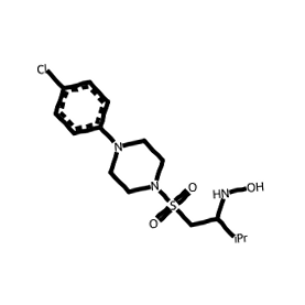 CC(C)C(CS(=O)(=O)N1CCN(c2ccc(Cl)cc2)CC1)NO